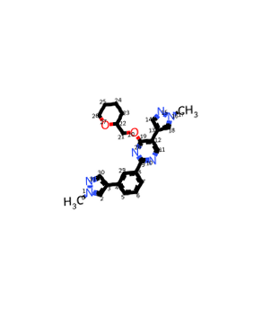 Cn1cc(-c2cccc(-c3ncc(-c4cnn(C)c4)c(OCC4CCCCO4)n3)c2)cn1